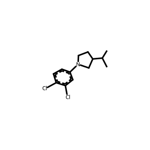 CC(C)C1CCN(c2ccc(Cl)c(Cl)c2)C1